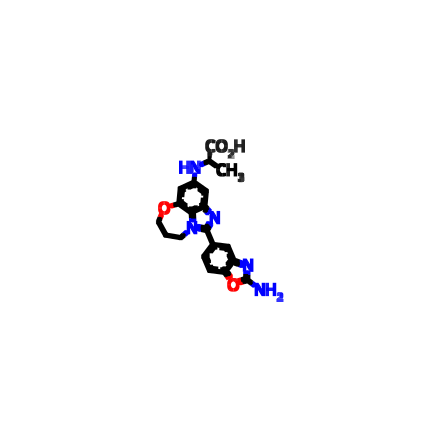 C[C@@H](Nc1cc2c3c(c1)nc(-c1ccc4oc(N)nc4c1)n3CCCO2)C(=O)O